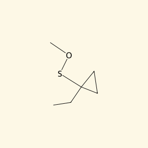 CCC1(SOC)CC1